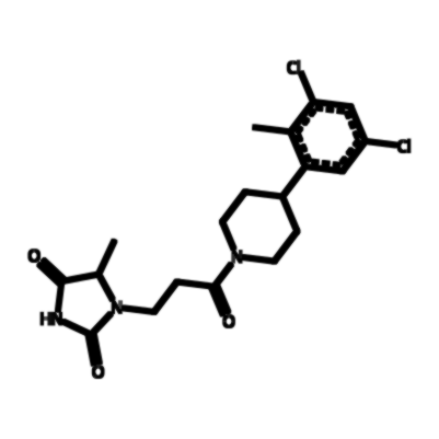 Cc1c(Cl)cc(Cl)cc1C1CCN(C(=O)CCN2C(=O)NC(=O)C2C)CC1